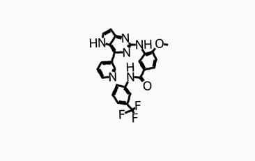 COc1ccc(C(=O)Nc2cccc(C(F)(F)F)c2)cc1Nc1nc(-c2cccnc2)c2[nH]ccc2n1